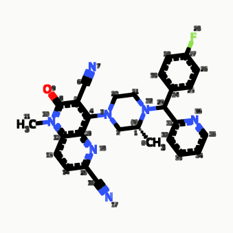 C[C@@H]1CN(c2c(C#N)c(=O)n(C)c3ccc(C#N)nc23)CCN1C(c1ccc(F)cc1)c1ccccn1